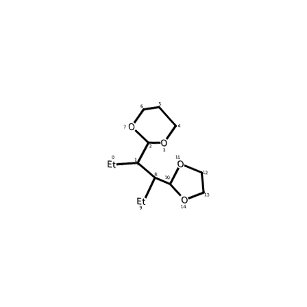 CC[C](C1OCCCO1)C(CC)C1OCCO1